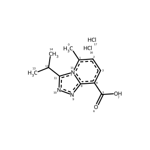 Cc1ccc(C(=O)O)c2nnc(C(C)C)n12.Cl.Cl